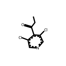 CCC(=O)c1c(Cl)cncc1Cl